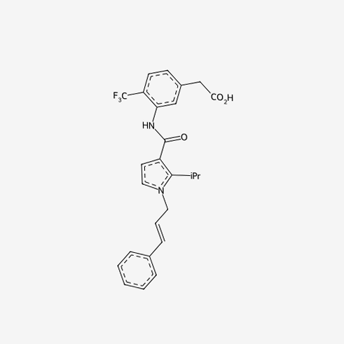 CC(C)c1c(C(=O)Nc2cc(CC(=O)O)ccc2C(F)(F)F)ccn1C/C=C/c1ccccc1